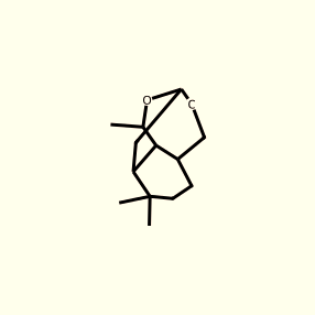 CC1OC2CCC3CCC(C)(C)C(C2)C31